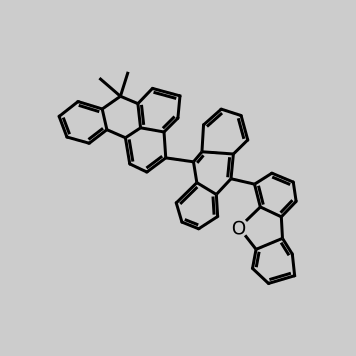 CC1(C)c2ccccc2-c2ccc(-c3c4ccccc4c(-c4cccc5c4oc4ccccc45)c4ccccc34)c3cccc1c23